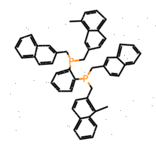 Cc1cccc2ccc(CP(Cc3ccc4ccccc4c3)c3ccccc3P(Cc3ccc4ccccc4c3)Cc3ccc4ccccc4c3C)cc12